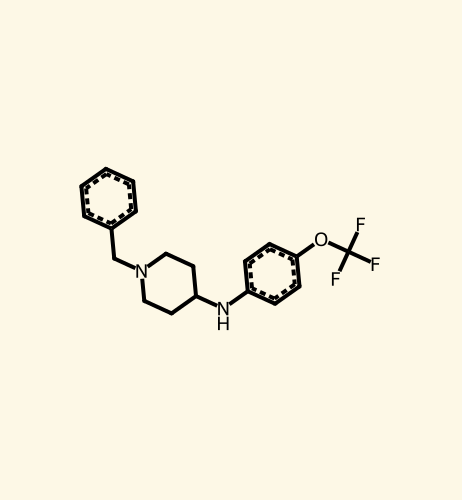 FC(F)(F)Oc1ccc(NC2CCN(Cc3ccccc3)CC2)cc1